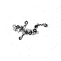 Cc1c(OCCCN2CCCC2)nn(-c2ccc(Cl)c(Cl)c2)c1C.Cc1c(OCCN2CCCCC2)nn(-c2ccc(Cl)c(Cl)c2)c1C.Clc1ccc(-n2ccc(OCCCCN3CCOCC3)n2)cc1Cl